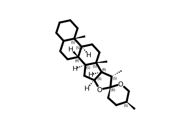 C[C@H]1CC[C@@]2(OC1)O[C@H]1C[C@H]3[C@@H]4CCC5CCCC[C@]5(C)[C@H]4CC[C@]3(C)[C@H]1[C@@H]2C